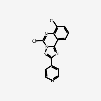 Clc1cccc2c1nc(Cl)n1nc(-c3ccncc3)nc21